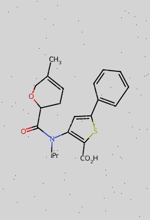 CC1=CCC(C(=O)N(c2cc(-c3ccccc3)sc2C(=O)O)C(C)C)OC1